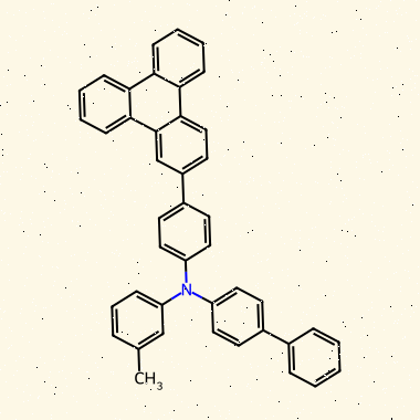 Cc1cccc(N(c2ccc(-c3ccccc3)cc2)c2ccc(-c3ccc4c5ccccc5c5ccccc5c4c3)cc2)c1